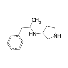 CC(Cc1ccccc1)NC1CCNC1